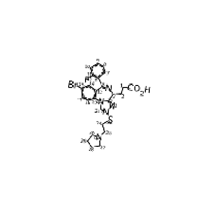 O=C(O)CC[C@@H]1N=C(c2ccccc2F)c2cc(Br)ccc2N2CN(SCCN3CCCC3)N=C12